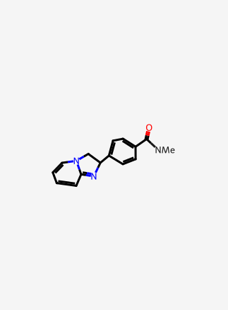 CNC(=O)c1ccc(C2CN3C=CC=CC3=N2)cc1